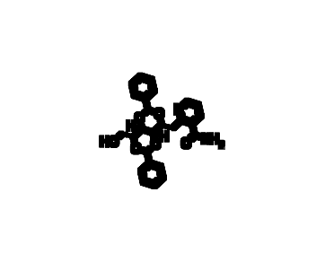 NC(=O)c1cccnc1C[C@H]1OC(c2ccccc2)O[C@H]2[C@H]1OC(c1ccccc1)O[C@@H]2CO